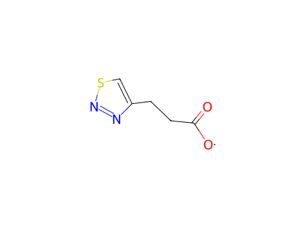 [O]C(=O)CCc1csnn1